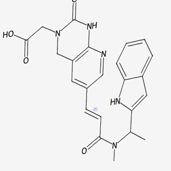 CC(c1cc2ccccc2[nH]1)N(C)C(=O)/C=C/c1cnc2c(c1)CN(CC(=O)O)C(=O)N2